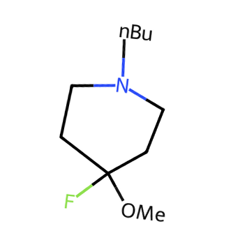 CCCCN1CCC(F)(OC)CC1